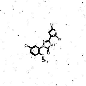 COc1ccc(Cl)cc1-n1nc(-c2cc(Br)sc2Br)[nH]c1=O